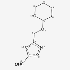 O=Cc1cnc(COC2CCCCO2)s1